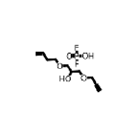 C#CCOCC(O)COCCC=C.O=P(O)(F)F